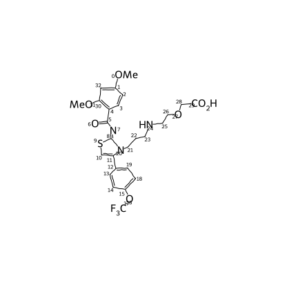 COc1ccc(C(=O)/N=c2\scc(-c3ccc(OC(F)(F)F)cc3)n2CCCNCCOCC(=O)O)c(OC)c1